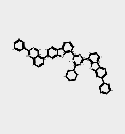 c1ccc(-c2ccc3c(c2)sc2c(-c4nc(-c5cccc6c5oc5cc(-c7cccc8nc(-c9ccccc9)ncc78)ccc56)nc(C5CCCCC5)n4)cccc23)cc1